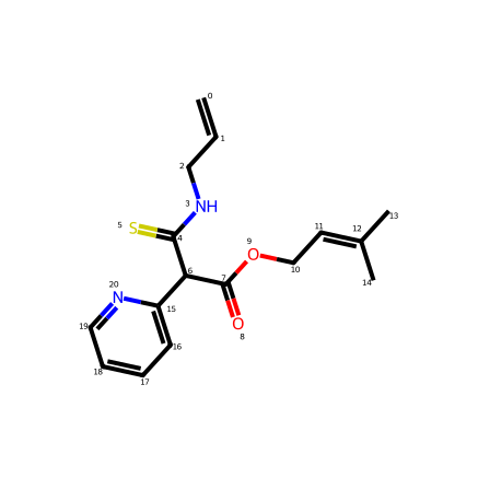 C=CCNC(=S)C(C(=O)OCC=C(C)C)c1ccccn1